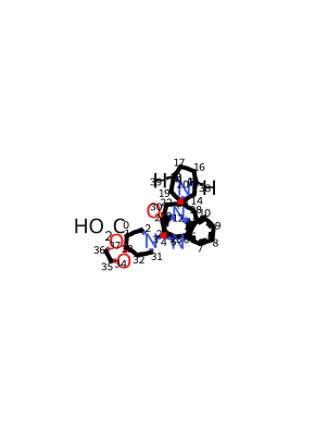 O=C(O)C1CN(c2nc3ccccc3n([C@H]3C[C@H]4CC[C@@H](C3)N4C3CCCCCCC3)c2=O)CCC12OCCO2